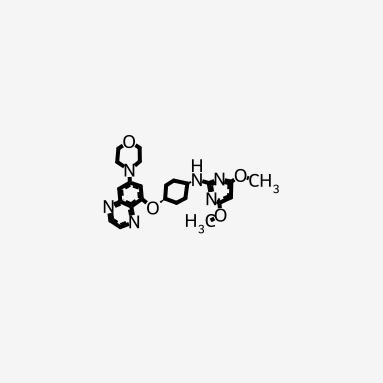 COc1cc(OC)nc(N[C@H]2CC[C@@H](Oc3cc(N4CCOCC4)cc4nccnc34)CC2)n1